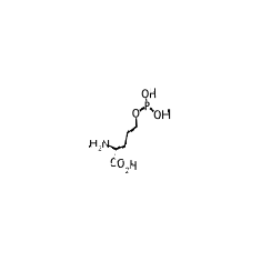 N[C@H](CCCOP(O)O)C(=O)O